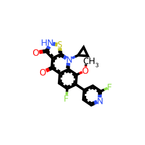 COc1c(-c2ccnc(F)c2)c(F)cc2c(=O)c3c(=O)[nH]sc3n(C3CC3)c12